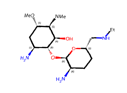 CCNC[C@@H]1CC[C@@H](N)[C@@H](O[C@H]2[C@H](O)[C@H](NC)[C@@H](OC)C[C@@H]2N)O1